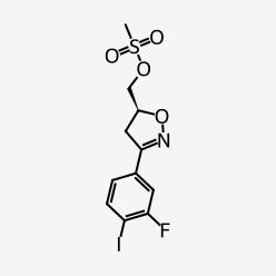 CS(=O)(=O)OC[C@@H]1CC(c2ccc(I)c(F)c2)=NO1